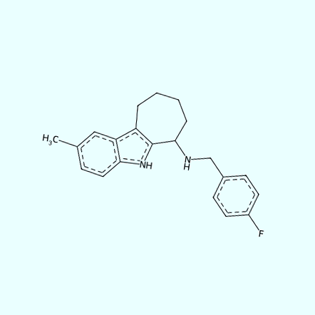 Cc1ccc2[nH]c3c(c2c1)CCCCC3NCc1ccc(F)cc1